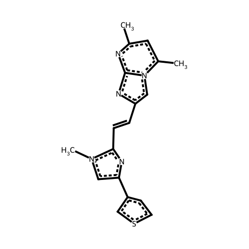 Cc1cc(C)n2cc(C=Cc3nc(-c4ccsc4)cn3C)nc2n1